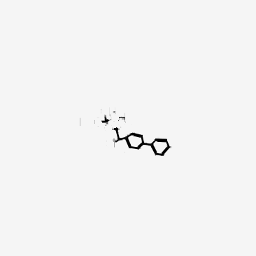 CC(C)(C)OC(=O)C(Cl)c1ccc(-c2ccccc2)cc1